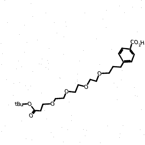 CC(C)(C)OC(=O)CCOCCOCCOCCOCCCc1ccc(C(=O)O)cc1